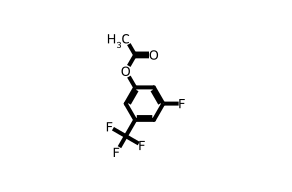 CC(=O)Oc1cc(F)cc(C(F)(F)F)c1